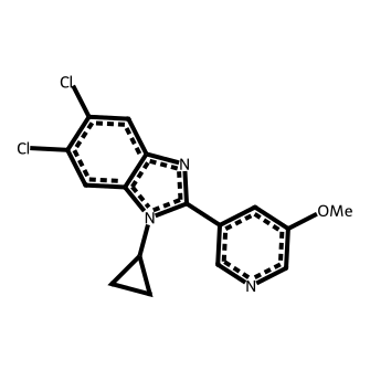 COc1cncc(-c2nc3cc(Cl)c(Cl)cc3n2C2CC2)c1